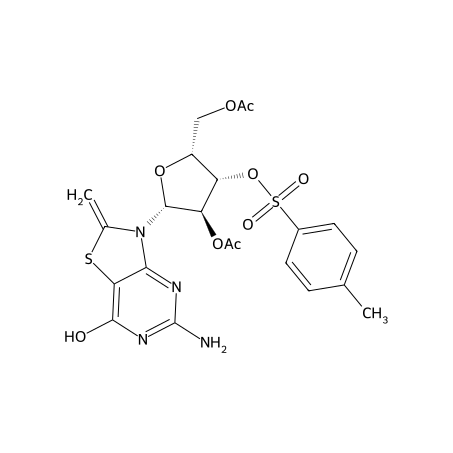 C=C1Sc2c(O)nc(N)nc2N1[C@@H]1O[C@H](COC(C)=O)[C@H](OS(=O)(=O)c2ccc(C)cc2)[C@H]1OC(C)=O